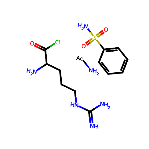 CC(N)=O.N=C(N)NCCCC(N)C(=O)Cl.NS(=O)(=O)c1ccccc1